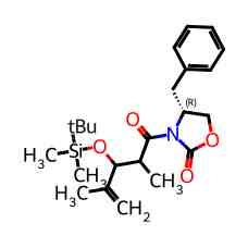 C=C(C)C(O[Si](C)(C)C(C)(C)C)C(C)C(=O)N1C(=O)OC[C@H]1Cc1ccccc1